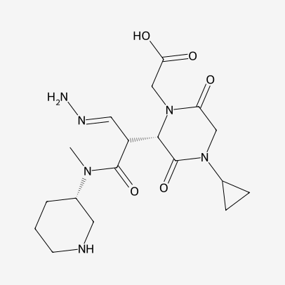 CN(C(=O)C(C=NN)[C@H]1C(=O)N(C2CC2)CC(=O)N1CC(=O)O)[C@H]1CCCNC1